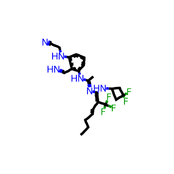 CCC/C=C/C(=C(\N=C(/C)Nc1cccc(NCC#N)c1C=N)NC1CC(F)(F)C1)C(F)(F)F